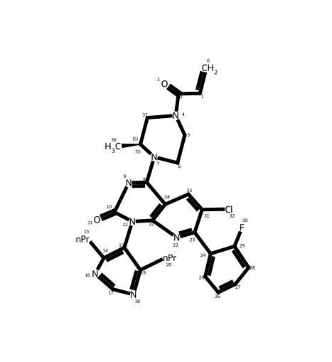 C=CC(=O)N1CCN(c2nc(=O)n(-c3c(CCC)ncnc3CCC)c3nc(-c4ccccc4F)c(Cl)cc23)[C@@H](C)C1